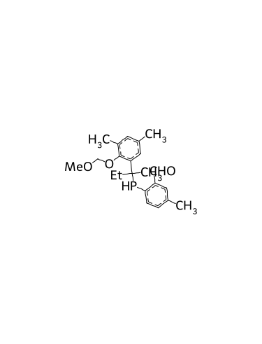 CCC(C)(Pc1ccc(C)cc1C=O)c1cc(C)cc(C)c1OCOC